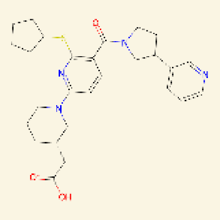 O=C(O)C[C@@H]1CCCN(c2ccc(C(=O)N3CCC(c4cccnc4)C3)c(SC3CCCC3)n2)C1